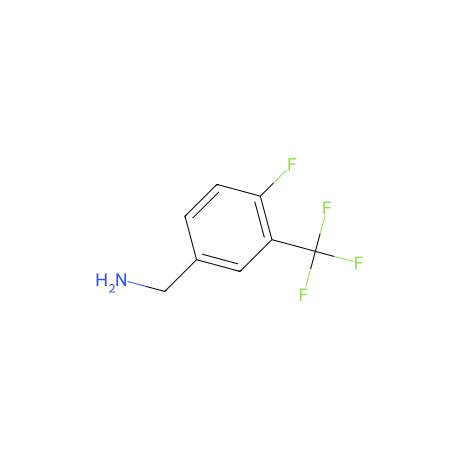 NCc1ccc(F)c(C(F)(F)F)c1